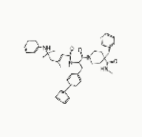 CNC(=O)C1(Cc2ccccc2)CCN(C(=O)[C@@H](Cc2ccc(-c3ccccc3)cc2)N(C)C(=O)/C=C(\C)CC(C)(C)Nc2ccccc2)CC1